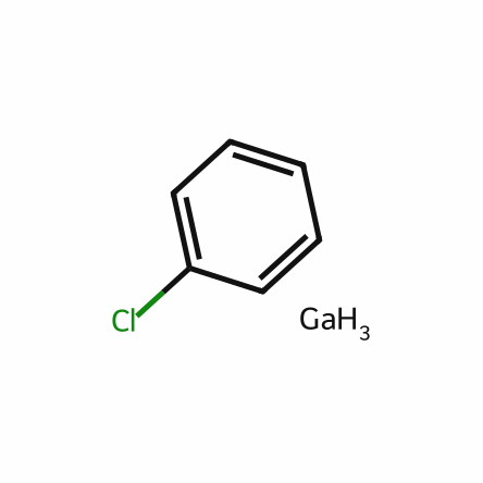 Clc1ccccc1.[GaH3]